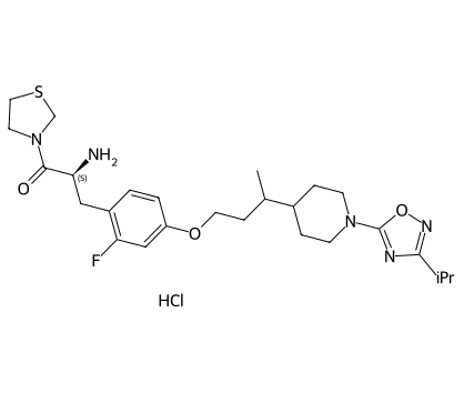 CC(C)c1noc(N2CCC(C(C)CCOc3ccc(C[C@H](N)C(=O)N4CCSC4)c(F)c3)CC2)n1.Cl